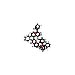 CC1(C)c2ccccc2-c2ccc(N(c3ccc(C4CC5CCC4C5)cc3)c3ccccc3-c3ccccc3C3CCCCC3)c(-c3ccccc3-c3ccccc3)c21